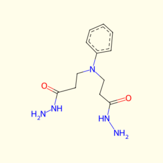 NNC(=O)CCN(CCC(=O)NN)c1ccccc1